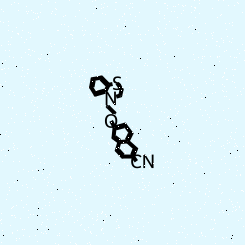 N#Cc1ccc2cc(OCCN3CCSc4ccccc43)ccc2c1